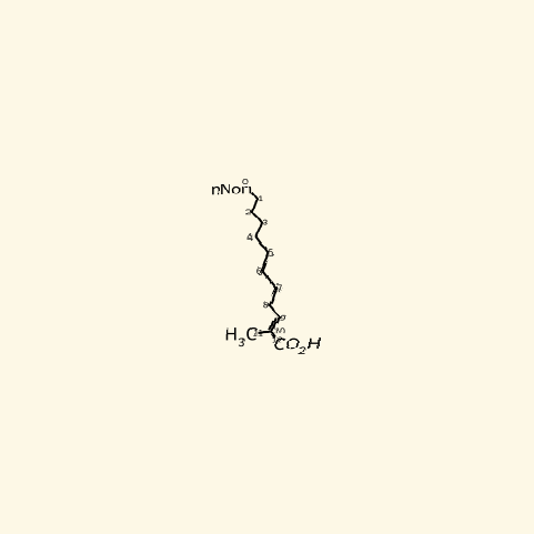 CCCCCCCCCCCCCCCCCC=C(C)C(=O)O